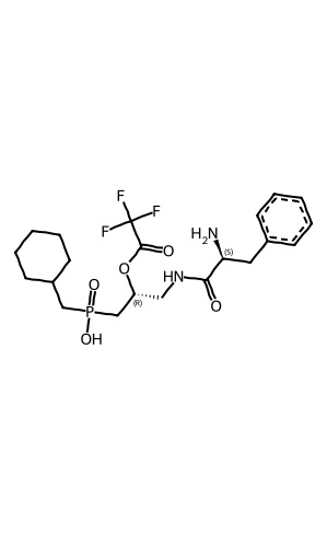 N[C@@H](Cc1ccccc1)C(=O)NC[C@H](CP(=O)(O)CC1CCCCC1)OC(=O)C(F)(F)F